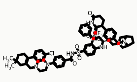 CC1(C)CCC(c2ccc(Cl)cc2)=C(CN2CCN(c3ccc(C(=O)NS(=O)(=O)c4ccc(N[C@H](CCN5CC6CCC(C5)N6Cc5ccc(C6CCC(=O)NC6=O)cc5)CSc5ccccc5)c(S(=O)(=O)C(F)(F)F)c4)cc3)CC2)C1